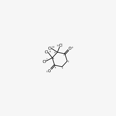 O=C1CCC(=O)C(Cl)(Cl)C1(Cl)Cl